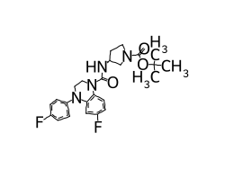 CC(C)(C)OC(=O)N1CC[C@H](NC(=O)N2CCN(c3ccc(F)cc3)c3cc(F)ccc32)C1